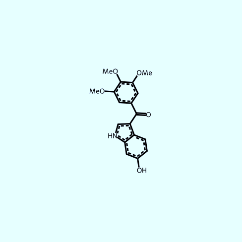 COc1cc(C(=O)c2c[nH]c3cc(O)ccc23)cc(OC)c1OC